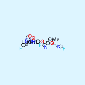 COc1cc2c(Oc3ccc(NC(=O)/C(C)=C4\OCC\C4=C\N(C=O)c4ccc(F)cc4)cc3F)ccnc2cc1OCCCN1CCC(F)C1